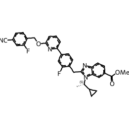 COC(=O)c1ccc2nc(Cc3ccc(-c4cccc(OCc5ccc(C#N)cc5F)n4)cc3F)n([C@@H](C)C3CC3)c2c1